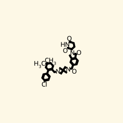 CC1(C)CCC(CN2CC3(C2)CN(C(=O)c2ccc4c(c2)CN(C2CCC(=O)NC2=O)C4=O)C3)=C(c2ccc(Cl)cc2)C1